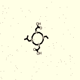 CCN1CCN(CC(=O)O)CCN(CC(C)C)CCN(CC(=O)O)CC1